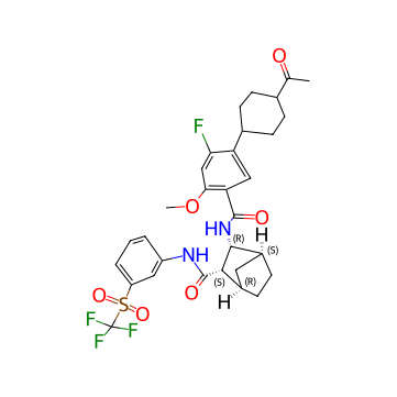 COc1cc(F)c(C2CCC(C(C)=O)CC2)cc1C(=O)N[C@@H]1[C@H]2CC[C@H](C2)[C@@H]1C(=O)Nc1cccc(S(=O)(=O)C(F)(F)F)c1